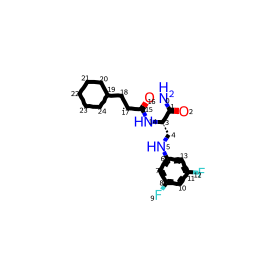 NC(=O)[C@H](CNc1cc(F)cc(F)c1)NC(=O)[CH]CC1CCCCC1